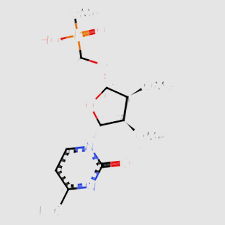 CO[C@@H]1[C@@H](OCP(=O)(O)OC)O[C@@H](n2ccc(C)nc2=O)[C@@H]1OC